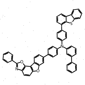 c1ccc(-c2cccc(N(c3ccc(-c4ccc5c(c4)oc4ccc6nc(-c7ccccc7)oc6c45)cc3)c3ccc(-c4cccc5c4sc4ccccc45)cc3)c2)cc1